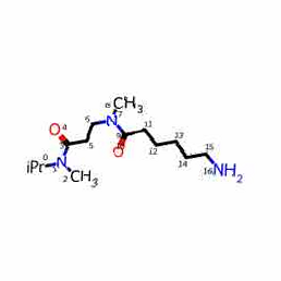 CC(C)N(C)C(=O)CCN(C)C(=O)CCCCCN